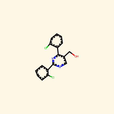 OCc1cnc(-c2ccccc2Cl)nc1-c1ccccc1Cl